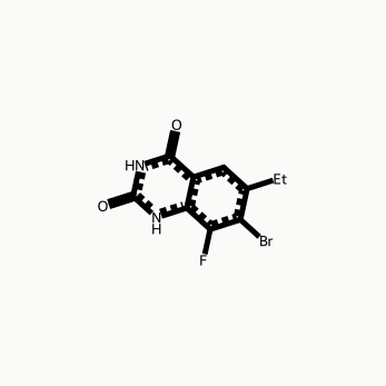 CCc1cc2c(=O)[nH]c(=O)[nH]c2c(F)c1Br